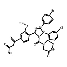 CC(C)(C)Oc1cc(C(=O)CC(N)=O)ccc1C1=N[C@@H](c2ccc(Br)cc2)[C@@H](c2cccc(Cl)c2)N1C(=O)N1CCNC(=O)C1